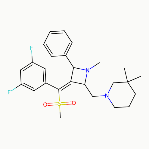 CN1C(CN2CCCC(C)(C)C2)C(=C(c2cc(F)cc(F)c2)S(C)(=O)=O)C1c1ccccc1